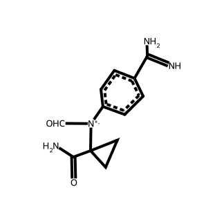 N=C(N)c1ccc([N+](C=O)C2(C(N)=O)CC2)cc1